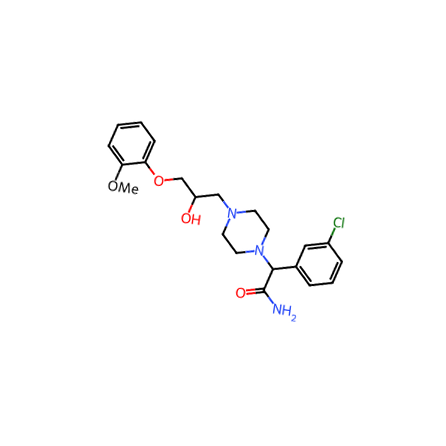 COc1ccccc1OCC(O)CN1CCN(C(C(N)=O)c2cccc(Cl)c2)CC1